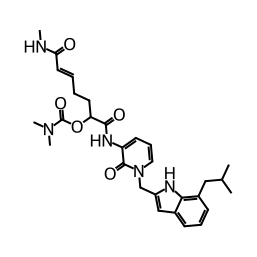 CNC(=O)C=CCCC(OC(=O)N(C)C)C(=O)Nc1cccn(Cc2cc3cccc(CC(C)C)c3[nH]2)c1=O